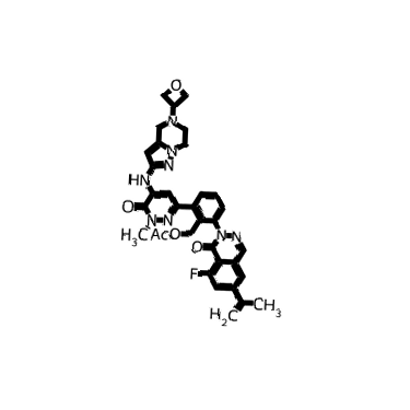 C=C(C)c1cc(F)c2c(=O)n(-c3cccc(-c4cc(Nc5cc6n(n5)CCN(C5COC5)C6)c(=O)n(C)n4)c3COC(C)=O)ncc2c1